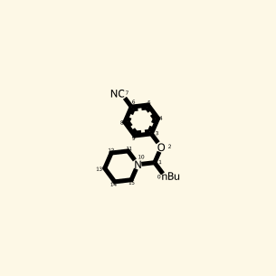 CCCCC(Oc1ccc(C#N)cc1)N1CCCCC1